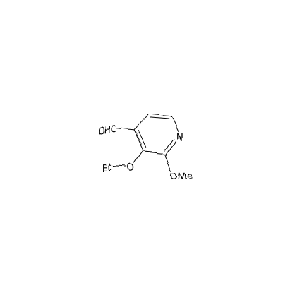 CCOc1c(C=O)ccnc1OC